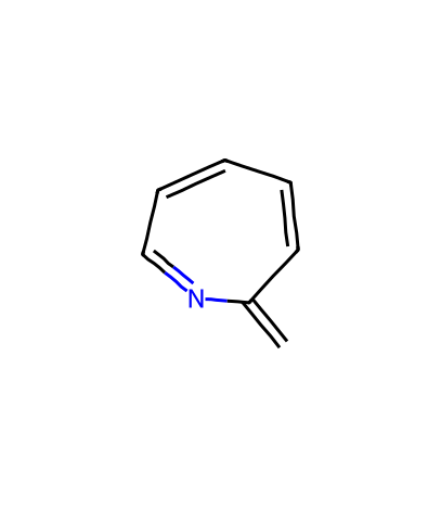 C=C1C=CC=CC=N1